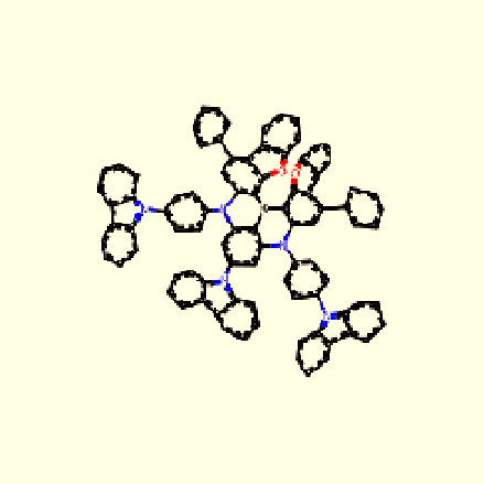 c1ccc(-c2cc3c(c4oc5ccccc5c24)B2c4c(cc(-n5c6ccccc6c6ccccc65)cc4N(c4ccc(-n5c6ccccc6c6ccccc65)cc4)c4cc(-c5ccccc5)c5c(oc6ccccc65)c42)N3c2ccc(-n3c4ccccc4c4ccccc43)cc2)cc1